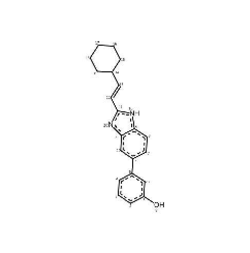 Oc1cccc(-c2ccc3[nH]c(C=CC4CCCCC4)nc3c2)c1